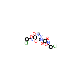 CN(C1CCN1C1=CC(=O)c2nc(-c3cccc(Cl)c3)oc2C1=O)C1CCN1C1=CC(=O)c2nc(-c3cccc(Cl)c3)oc2C1=O